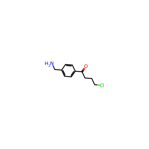 NCc1ccc(C(=O)CCCCl)cc1